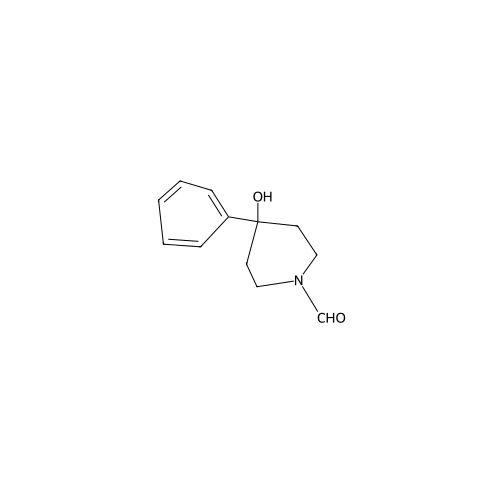 O=CN1CCC(O)(c2ccccc2)CC1